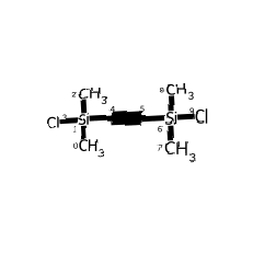 C[Si](C)(Cl)C#C[Si](C)(C)Cl